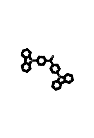 O=C(c1ccc(-n2c3ccccc3c3ccccc32)cc1)c1ccc(-n2c3ccccc3c3ccccc32)cc1